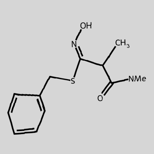 CNC(=O)C(C)C(=NO)SCc1ccccc1